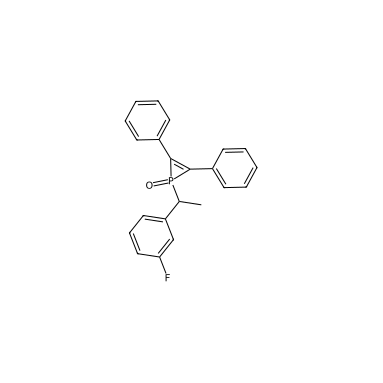 CC(c1cccc(F)c1)P1(=O)C(c2ccccc2)=C1c1ccccc1